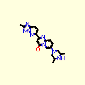 Cc1nc2ccc(-c3cc(=O)n4cc(N5CC(C)NC(C)C5)ccc4n3)nn2n1